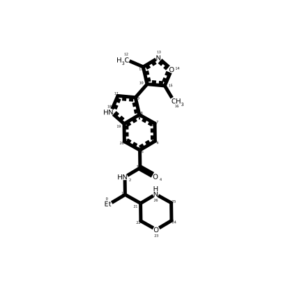 CCC(NC(=O)c1ccc2c(-c3c(C)noc3C)c[nH]c2c1)C1COCCN1